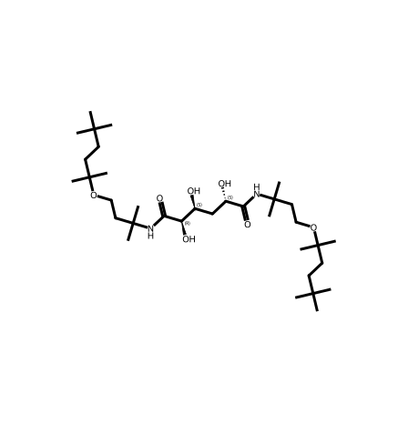 CC(C)(C)CCC(C)(C)OCCC(C)(C)NC(=O)[C@@H](O)C[C@H](O)[C@@H](O)C(=O)NC(C)(C)CCOC(C)(C)CCC(C)(C)C